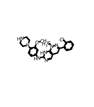 COc1cc(NC2N=CC3=C(N2)N(C)N=C(c2ccccc2Cl)C3)ccc1N1CCNCC1